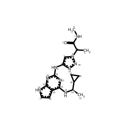 CNC(=O)C(C)n1cc(Nc2nc(N[C@H](C)C3CC3)c3cc[nH]c3n2)nn1